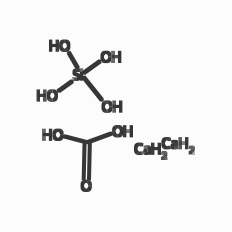 O=C(O)O.O[Si](O)(O)O.[CaH2].[CaH2]